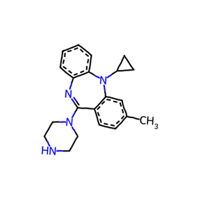 Cc1ccc2c(c1)N(C1CC1)c1ccccc1N=C2N1CCNCC1